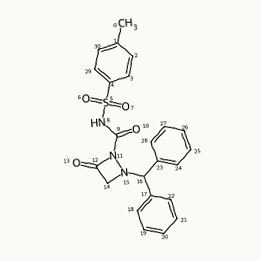 Cc1ccc(S(=O)(=O)NC(=O)N2C(=O)CN2C(c2ccccc2)c2ccccc2)cc1